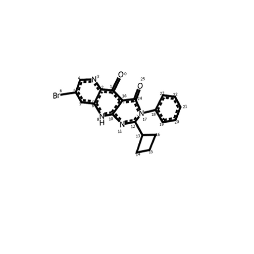 O=c1c2ncc(Br)cc2[nH]c2nc(C3CCC3)n(-c3ccccc3)c(=O)c12